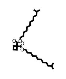 CC(C)CCCCCCCCCCOC(=O)C1(C(=O)OCCCCCCCCCCC(C)C)CCC1